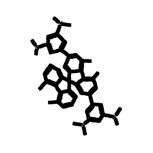 Cc1cccc2c1-c1c(C)cccc1C21c2cc(-c3cc(N(C)C)cc(N(C)C)c3)cc(C)c2-c2c(C)cc(-c3cc(N(C)C)cc(N(C)C)c3)cc21